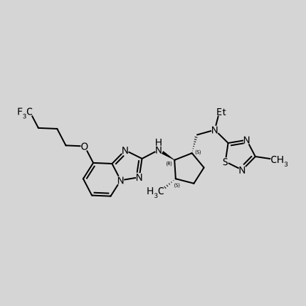 CCN(C[C@@H]1CC[C@H](C)[C@H]1Nc1nc2c(OCCCC(F)(F)F)cccn2n1)c1nc(C)ns1